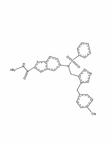 CCCCNC(=O)c1cc2cc(N(Cc3cncn3Cc3ccc(C#N)cc3)S(=O)(=O)c3ccccc3)ccc2s1